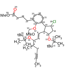 CC#CCC(C)C(C=CC1C(O[Si](C)(C)C(C)(C)C)CC(Cl)C1c1cccc(CCCC(=O)OC)c1OCOC)O[Si](C)(C)C(C)(C)C